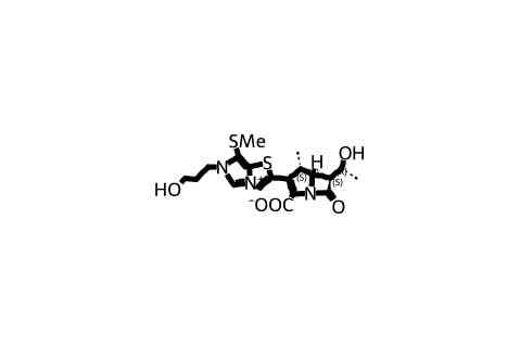 CSc1c2sc(C3=C(C(=O)[O-])N4C(=O)[C@H]([C@@H](C)O)[C@H]4[C@H]3C)c[n+]2cn1CCCO